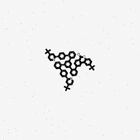 CC(C)(C)c1ccnc(-c2ccc(-c3ccccc3-c3cc(-c4ccccc4-c4ccc(-c5cc(C(C)(C)C)ccn5)cc4)cc(-c4ccccc4-c4ccc5c(=O)oc6ccc(C(C)(C)C)cc6c5c4)c3)cc2)c1